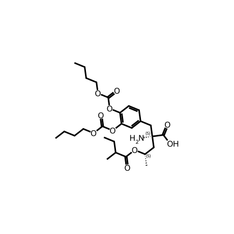 CCCCOC(=O)Oc1ccc(C[C@](N)(C[C@H](C)OC(=O)C(C)CC)C(=O)O)cc1OC(=O)OCCCC